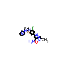 Cc1cn2nc(-c3cc(F)c4nc(N(C)C5CC6CCC(C5)N6)sc4c3)cc(C(N)=O)c2n1